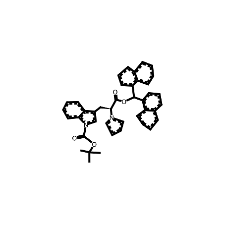 CC(C)(C)OC(=O)n1cc(C[C@@H](C(=O)OC(c2cccc3ccccc23)c2cccc3ccccc23)n2cccc2)c2ccccc21